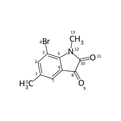 Cc1cc(Br)c2c(c1)C(=O)C(=O)N2C